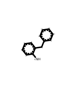 [NH]c1ccccc1Cc1ccccc1